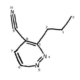 CCCc1nnccc1C#N